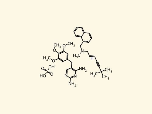 CN(C/C=C/C#CC(C)(C)C)Cc1cccc2ccccc12.COc1cc(Cc2cnc(N)nc2N)cc(OC)c1OC.O=S(=O)(O)O